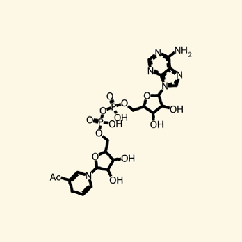 CC(=O)C1=CN(C2OC(COP(=O)(O)OP(=O)(O)OCC3OC(n4cnc5c(N)ncnc54)C(O)C3O)C(O)C2O)C=CC1